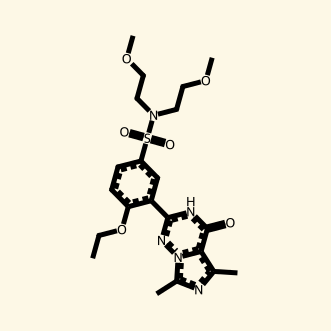 CCOc1ccc(S(=O)(=O)N(CCOC)CCOC)cc1-c1nn2c(C)nc(C)c2c(=O)[nH]1